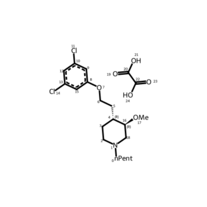 CCCCCN1CC[C@H](CCOc2cc(Cl)cc(Cl)c2)[C@@H](OC)C1.O=C(O)C(=O)O